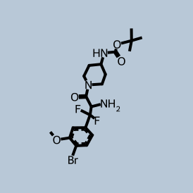 COc1cc(C(F)(F)C(N)C(=O)N2CCC(NC(=O)OC(C)(C)C)CC2)ccc1Br